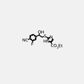 CCOC(=O)c1cnc(SCC(O)c2ccc(C#N)c(F)c2)[nH]1